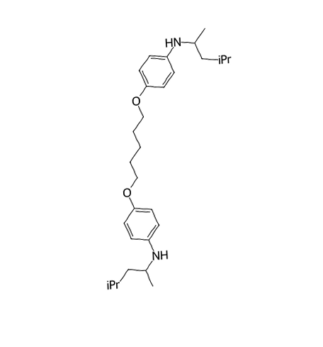 CC(C)CC(C)Nc1ccc(OCCCCCOc2ccc(NC(C)CC(C)C)cc2)cc1